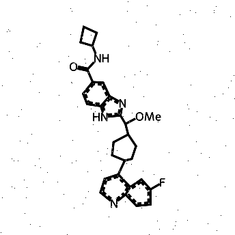 COC(c1nc2cc(C(=O)NC3CCC3)ccc2[nH]1)C1CCC(c2ccnc3ccc(F)cc23)CC1